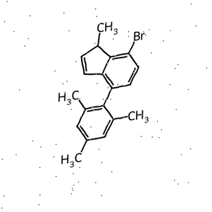 Cc1cc(C)c(-c2ccc(Br)c3c2C=CC3C)c(C)c1